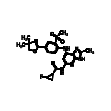 Cc1nc2c(Nc3ccc(C4=NC(C)(C)CO4)cc3S(C)(=O)=O)cc(NC(=O)[C@H]3CC3F)nc2[nH]1